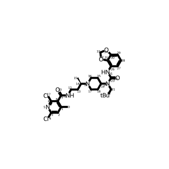 Cc1cc(Cl)nc(Cl)c1C(=O)NCC[C@@H](C)N1CCC(N(CC(C)(C)C)C(=O)Nc2cccc3c2OCO3)CC1